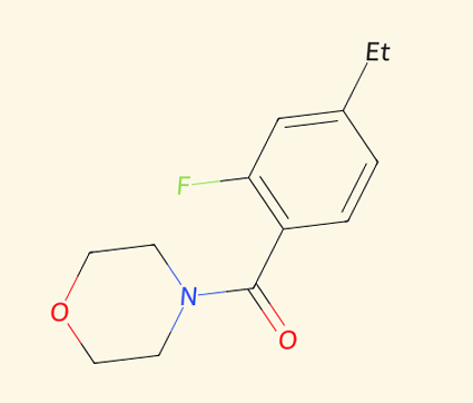 CCc1ccc(C(=O)N2CCOCC2)c(F)c1